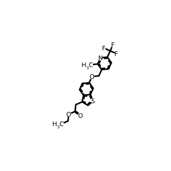 CCOC(=O)Cc1csc2cc(OCc3ccc(C(F)(F)F)nc3C)ccc12